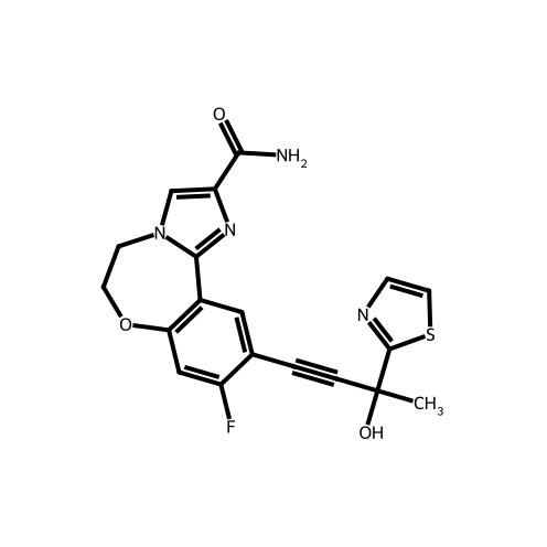 CC(O)(C#Cc1cc2c(cc1F)OCCn1cc(C(N)=O)nc1-2)c1nccs1